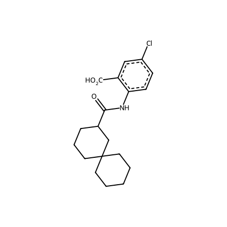 O=C(O)c1cc(Cl)ccc1NC(=O)C1CCCC2(CCCCC2)C1